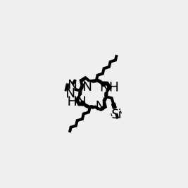 CCCCCCCc1c2nc(c(-c3nccn3C)c3ccc([nH]3)c(CCCCCCC)c3nc(c(CC#C[Si](C)(C)C)c4ccc1[nH]4)C=C3)C=C2